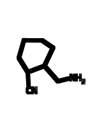 N#CC1CCCCC1CN